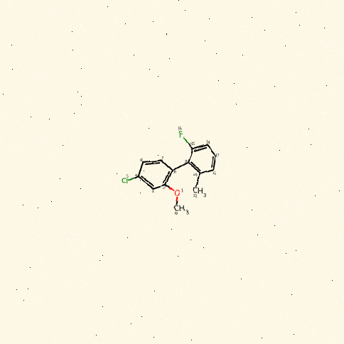 COc1cc(Cl)ccc1-c1c(C)cccc1F